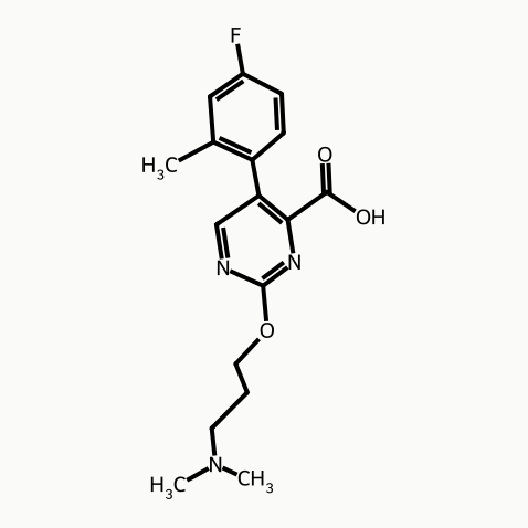 Cc1cc(F)ccc1-c1cnc(OCCCN(C)C)nc1C(=O)O